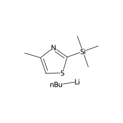 Cc1csc([Si](C)(C)C)n1.[Li][CH2]CCC